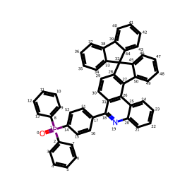 O=P(c1ccccc1)(c1ccccc1)c1ccc(-c2nc3ccccc3c3c4c(ccc23)C2(c3ccccc3-c3ccccc32)c2ccccc2-4)cc1